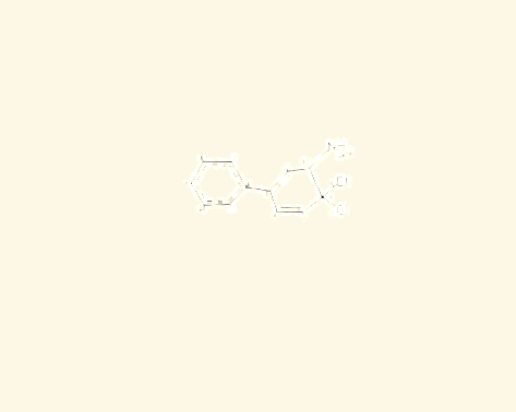 CCC1(Cl)C=CC(c2ccccc2)=CC1N